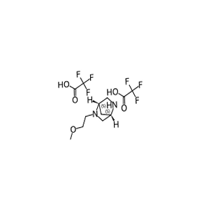 COCCN1C[C@@H]2C[C@H]1CN2.O=C(O)C(F)(F)F.O=C(O)C(F)(F)F